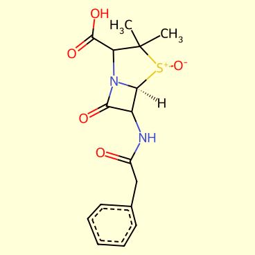 CC1(C)C(C(=O)O)N2C(=O)C(NC(=O)Cc3ccccc3)[C@@H]2[S+]1[O-]